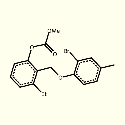 CCc1cccc(OC(=O)OC)c1COc1ccc(C)cc1Br